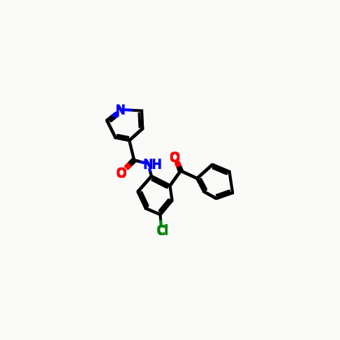 O=C(Nc1ccc(Cl)cc1C(=O)c1ccccc1)c1ccncc1